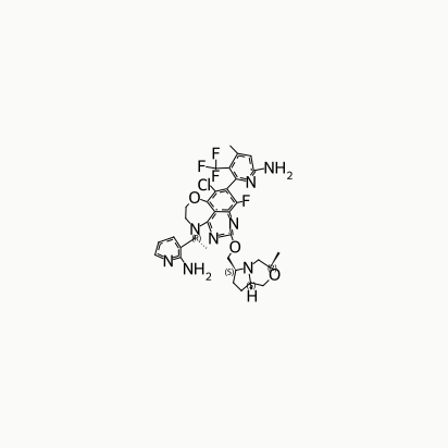 Cc1cc(N)nc(-c2c(Cl)c3c4c(nc(OC[C@@H]5CC[C@H]6CO[C@H](C)CN56)nc4c2F)N([C@H](C)c2cccnc2N)CCO3)c1C(F)(F)F